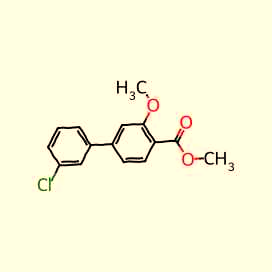 COC(=O)c1ccc(-c2cccc(Cl)c2)cc1OC